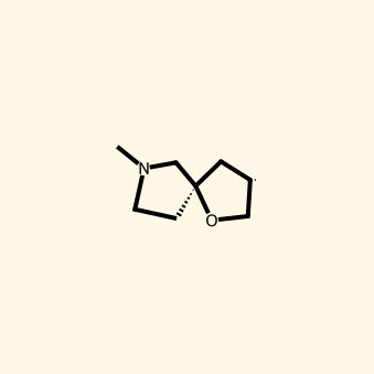 CN1CC[C@@]2(C[CH]CO2)C1